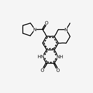 CN1CCc2c(c(C(=O)N3CCCC3)cc3[nH]c(=O)c(=O)[nH]c23)C1